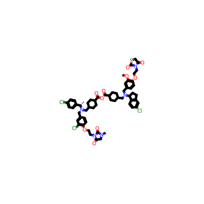 COc1cc(CN(CC2CCC(C(=O)OC(=O)C3CCC(CN(Cc4ccc(OCCN5C(=O)CN(C)C5=O)c(Cl)c4)[C@@H](C)c4ccc(Cl)cc4)CC3)CC2)C2CCc3cc(Cl)ccc32)ccc1OCCN1C(=O)CSC1=O